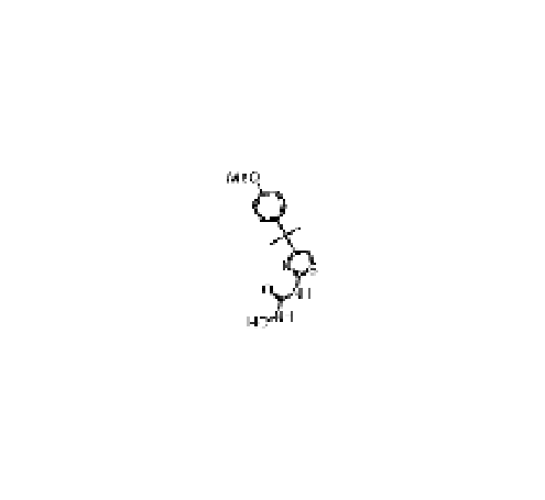 COc1ccc(C(C)(C)c2csc(NC(=O)NO)n2)cc1